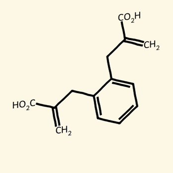 C=C(Cc1ccccc1CC(=C)C(=O)O)C(=O)O